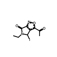 CCN1C(=O)c2noc(C(C)=O)c2C1I